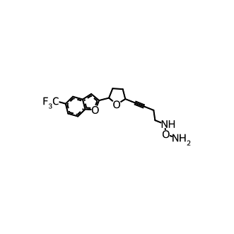 NONCCC#CC1CCC(c2cc3cc(C(F)(F)F)ccc3o2)O1